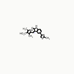 Cc1nc(-c2ccc3c(c2)/C(=C/c2[nH]c(C)c(C(=O)O)c2C)C(=O)N3)cs1